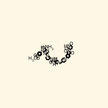 CS(=O)(=O)c1ccc(Nc2nc(N3CCC[C@@H](NC(=O)[C@H]4[C@@H]5CN(CC6CCN(c7ccc8c(c7)C(=O)N(C7CCC(=O)NC7=O)C8=O)CC6)C[C@@H]54)C3)cnc2C(N)=O)cc1